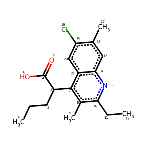 CCCC(C(=O)O)c1c(C)c(CC)nc2cc(C)c(Cl)cc12